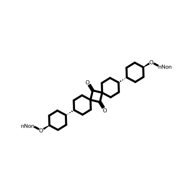 CCCCCCCCCO[C@H]1CC[C@H](C2CCC3(CC2)C(=O)C2(CCC([C@H]4CC[C@H](OCCCCCCCCC)CC4)CC2)C3=O)CC1